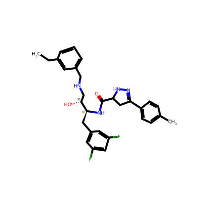 CCc1cccc(CNC[C@@H](O)[C@H](Cc2cc(F)cc(F)c2)NC(=O)C2CC(c3ccc(C)cc3)=NN2)c1